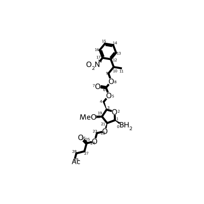 B[C@@H]1O[C@H](COC(=O)OCC(C)c2ccccc2[N+](=O)[O-])C(OC)[C@@H]1OCOC(=O)CCC(C)=O